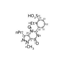 CCCc1nn(C)c2c(=O)nc(-c3cccc(S(=O)(=O)O)c3)n(OCC)c12